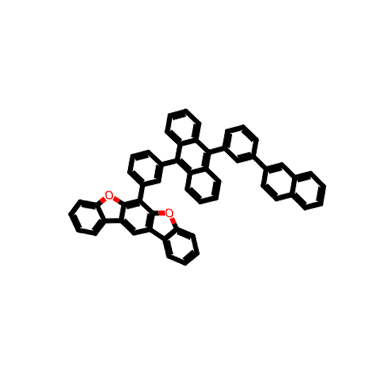 c1cc(-c2ccc3ccccc3c2)cc(-c2c3ccccc3c(-c3cccc(-c4c5oc6ccccc6c5cc5c4oc4ccccc45)c3)c3ccccc23)c1